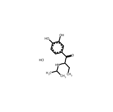 CCC(NC(C)C)C(=O)c1ccc(O)c(O)c1.Cl